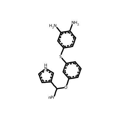 CCCC(Oc1cccc(Sc2ccc(N)c(N)c2)c1)c1cc[nH]c1